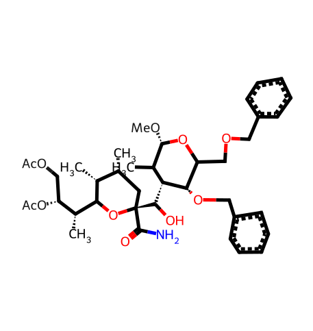 CO[C@@H]1OC(COCc2ccccc2)[C@H](OCc2ccccc2)[C@H](C(O)[C@]2(C(N)=O)C[C@@H](C)[C@@H](C)C([C@H](C)[C@@H](COC(C)=O)OC(C)=O)O2)C1C